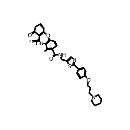 Cc1c(C(=O)NCc2cnc(-c3ccc(OCCCN4CCCCC4)cc3)s2)ccc2c1NC(=O)C1=C(C=CCC1=O)O2